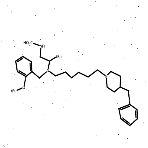 CC(C)(C)Oc1ccccc1CN(CCCCCCN1CCC(Cc2ccccc2)CC1)C(CNC(=O)O)C(C)(C)C